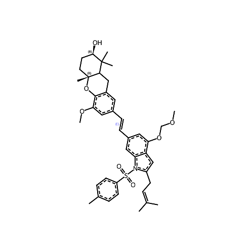 COCOc1cc(/C=C/c2cc3c(c(OC)c2)O[C@]2(C)CC[C@@H](O)C(C)(C)C2C3)cc2c1cc(CC=C(C)C)n2S(=O)(=O)c1ccc(C)cc1